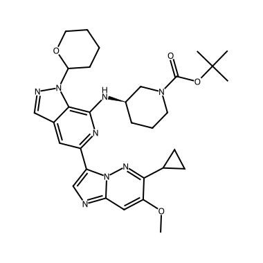 COc1cc2ncc(-c3cc4cnn(C5CCCCO5)c4c(N[C@@H]4CCCN(C(=O)OC(C)(C)C)C4)n3)n2nc1C1CC1